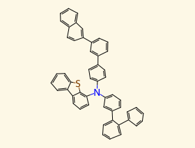 c1ccc(-c2ccccc2-c2cccc(N(c3ccc(-c4cccc(-c5ccc6ccccc6c5)c4)cc3)c3cccc4c3sc3ccccc34)c2)cc1